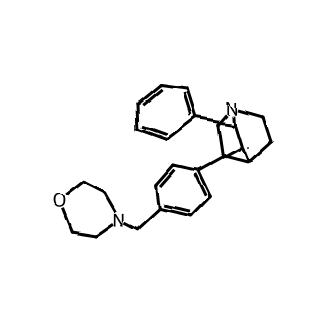 c1ccc(C2[C](c3ccc(CN4CCOCC4)cc3)C3CCN2CC3)cc1